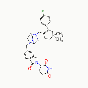 CC1(C)CCC(CN2CC3CCC2CN3Cc2ccc3c(c2)CN(C2CCC(=O)NC2=O)C3=O)=C(c2ccc(F)cc2)C1